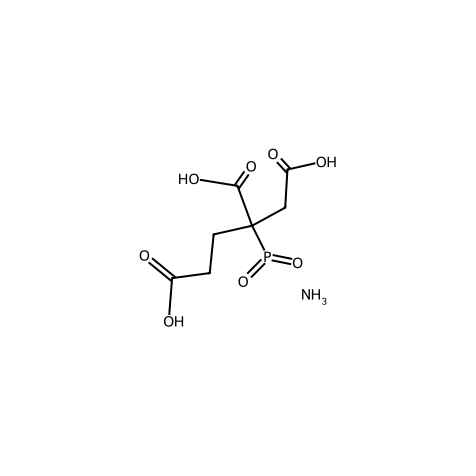 N.O=C(O)CCC(CC(=O)O)(C(=O)O)P(=O)=O